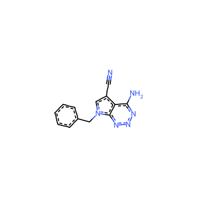 N#Cc1cn(Cc2ccccc2)c2nnnc(N)c12